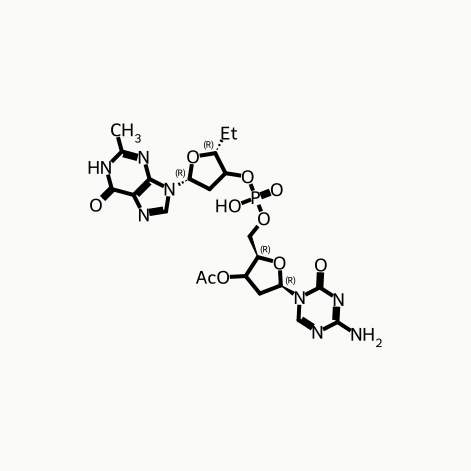 CC[C@H]1O[C@@H](n2cnc3c(=O)[nH]c(C)nc32)CC1OP(=O)(O)OC[C@H]1O[C@@H](n2cnc(N)nc2=O)CC1OC(C)=O